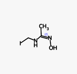 C/C(=N/O)NCI